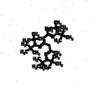 CC(CC(CC(C)=NN([Si](C)(C)C)[Si](C)(C)C)=NN([Si](C)(C)C)[Si](C)(C)C)=NN([Si](C)(C)C)[Si](C)(C)C